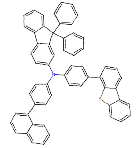 c1ccc(C2(c3ccccc3)c3ccccc3-c3ccc(N(c4ccc(-c5cccc6ccccc56)cc4)c4ccc(-c5cccc6c5sc5ccccc56)cc4)cc32)cc1